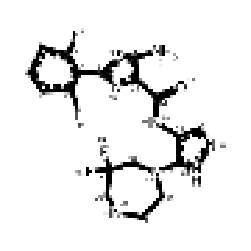 Nc1sc(-c2c(F)cccc2F)nc1C(=O)Nc1cn[nH]c1N1CCNCC(F)(F)C1